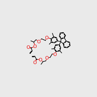 C=CC(=O)OC(C)COCCOc1c(C)cc(C2(c3cc(C)c(OCCOCC(C)OC(=O)C=C)c(C)c3)c3ccccc3-c3ccccc32)cc1C